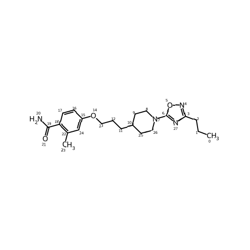 CCCc1noc(N2CCC(CCCOc3ccc(C(N)=O)c(C)c3)CC2)n1